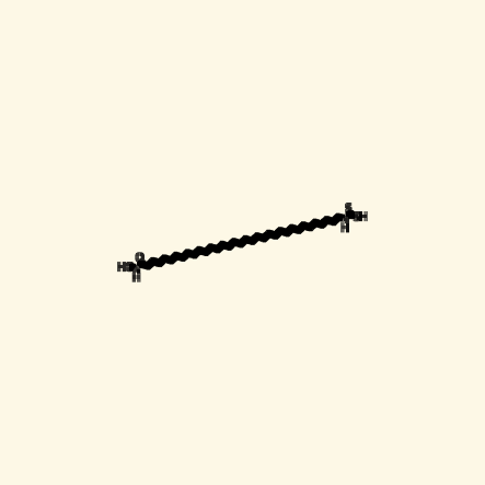 O=C(CCCCCCCCCCCCCCCCCCCCCCCCCCCCCCCCCCNC(=S)S)NO